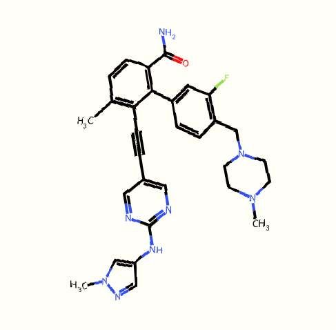 Cc1ccc(C(N)=O)c(-c2ccc(CN3CCN(C)CC3)c(F)c2)c1C#Cc1cnc(Nc2cnn(C)c2)nc1